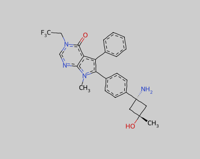 Cn1c(-c2ccc([C@]3(N)C[C@@](C)(O)C3)cc2)c(-c2ccccc2)c2c(=O)n(CC(F)(F)F)cnc21